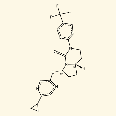 O=C1N(c2ccc(C(F)(F)F)cn2)CC[C@@H]2CC[C@H](Oc3cnc(C4CC4)cn3)N12